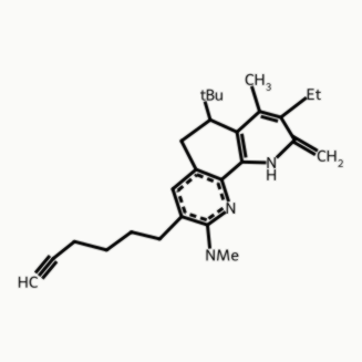 C#CCCCCc1cc2c(nc1NC)C1=C(C(C)=C(CC)C(=C)N1)C(C(C)(C)C)C2